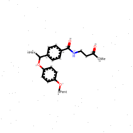 CCCCCCC(Oc1ccc(OCCCCC)cc1)c1ccc(C(=O)NCCC(=O)OC)cc1